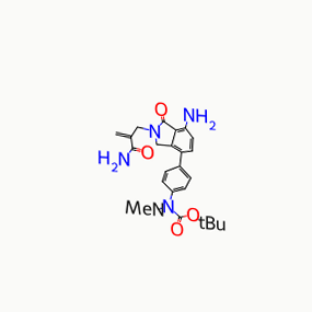 C=C(CN1Cc2c(-c3ccc(N(NC)C(=O)OC(C)(C)C)cc3)ccc(N)c2C1=O)C(N)=O